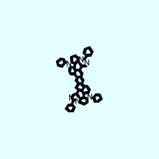 c1ccc(-c2ncc(-c3cc4cc5c(cc(-c6cnc(-c7ccccc7)nc6)c6c5ccc5c6c6ccccc6n5-c5ccccc5)cc4c4ccc5c(c6ccccc6n5-c5ccccc5)c34)cn2)cc1